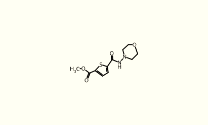 COC(=O)c1ccc(C(=O)NN2CCOCC2)s1